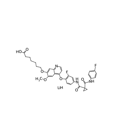 COc1cc2c(Oc3ccc(NC(=O)C4(C(=O)Nc5ccc(F)cc5)CC4)cc3F)ccnc2cc1OCCCCCCC(=O)O.[LiH]